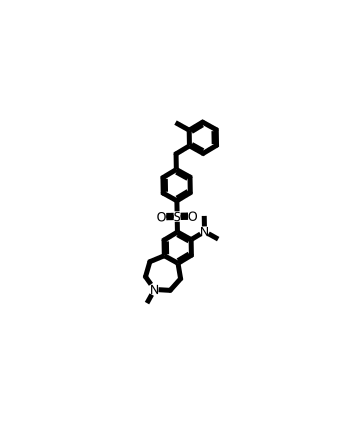 Cc1ccccc1Cc1ccc(S(=O)(=O)c2cc3c(cc2N(C)C)CCN(C)CC3)cc1